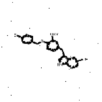 COc1cc(Cc2c[nH]c3ncc(O)cc23)ccc1OCc1ccc(Cl)cc1